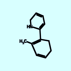 CC1=C(C2=CC=CCN2)CCC=C1